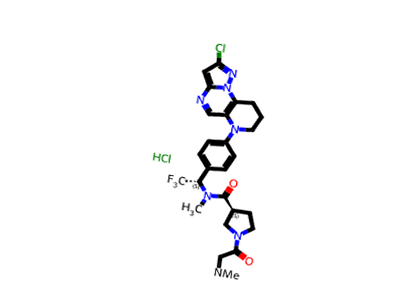 CNCC(=O)N1CC[C@H](C(=O)N(C)[C@@H](c2ccc(N3CCCc4c3cnc3cc(Cl)nn43)cc2)C(F)(F)F)C1.Cl